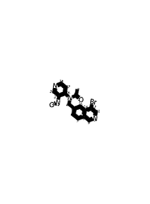 CC(=O)N(Cc1ccc2cncc(Br)c2c1)c1ccncc1N=O